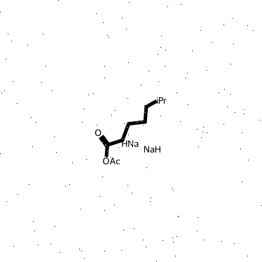 CC(=O)OC(=O)CCCCC(C)C.[NaH].[NaH]